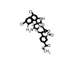 COC(=O)c1ccc(C(=O)C[C@H]2[C@@H](N)[C@H](c3cccc(Cl)c3F)[C@]3(C(=O)Nc4cc(Cl)ccc43)N2CC2CC2)c([N+](=O)[O-])c1